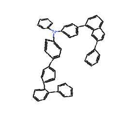 c1ccc(-c2ccc3cccc(-c4ccc(N(c5ccccc5)c5ccc(-c6ccc(-c7ccccc7-c7ccccc7)cc6)cc5)cc4)c3c2)cc1